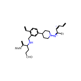 C=C/C=C\C(CC)=N/N1CCC(c2ccc(C=C)c(CNC(CCC=O)C(=C)NC)c2)CC1